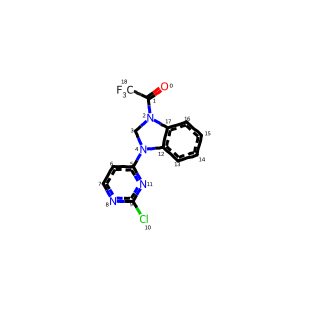 O=C(N1CN(c2ccnc(Cl)n2)c2ccccc21)C(F)(F)F